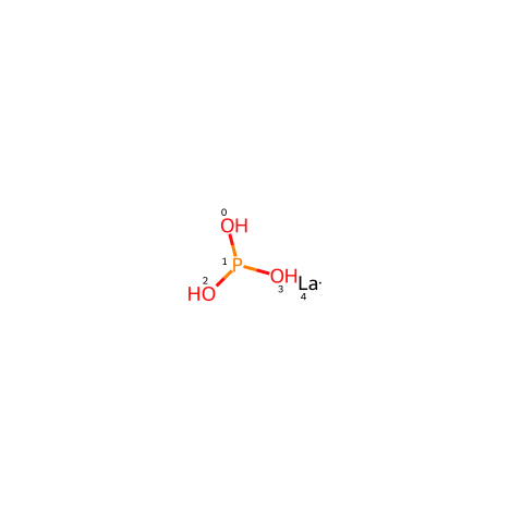 OP(O)O.[La]